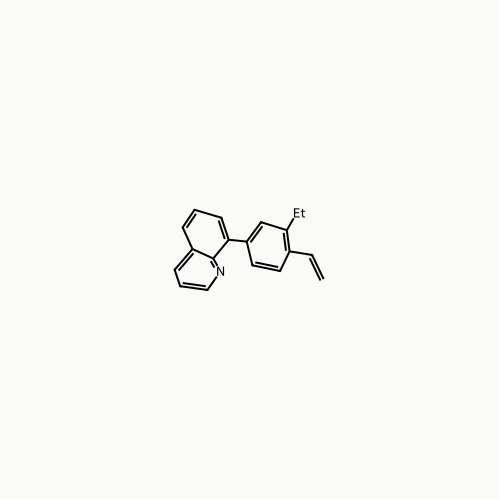 C=Cc1ccc(-c2cccc3cccnc23)cc1CC